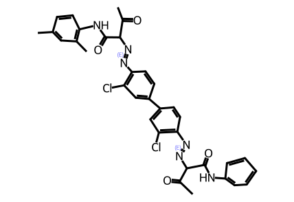 CC(=O)C(/N=N/c1ccc(-c2ccc(/N=N/C(C(C)=O)C(=O)Nc3ccc(C)cc3C)c(Cl)c2)cc1Cl)C(=O)Nc1ccccc1